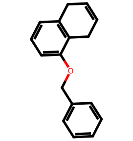 C1=CCc2c(cccc2OCc2ccccc2)C1